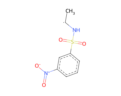 C[CH]NS(=O)(=O)c1cccc([N+](=O)[O-])c1